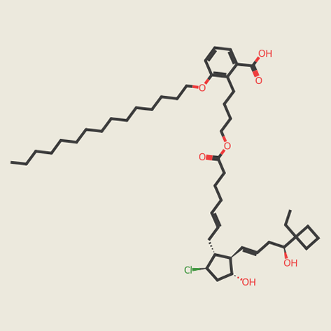 CCCCCCCCCCCCCCCOc1cccc(C(=O)O)c1CCCCOC(=O)CCCC=CC[C@@H]1[C@@H](C=CC[C@H](O)C2(CC)CCC2)[C@H](O)C[C@H]1Cl